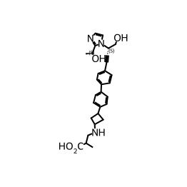 CC(CNC1CC(c2ccc(-c3ccc(C#C[C@@H](CO)n4ccnc4[C@H](C)O)cc3)cc2)C1)C(=O)O